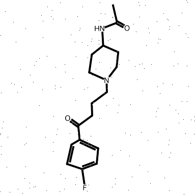 CC(=O)NC1CCN(CCCC(=O)c2ccc(F)cc2)CC1